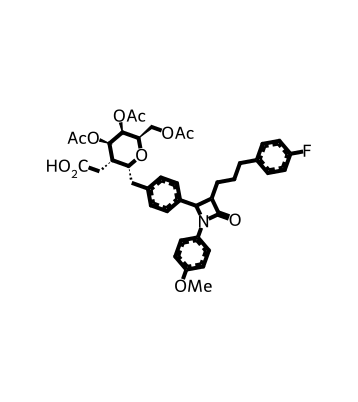 COc1ccc(N2C(=O)C(CCCc3ccc(F)cc3)C2c2ccc(C[C@H]3O[C@H](COC(C)=O)[C@H](OC(C)=O)[C@H](OC(C)=O)[C@H]3CC(=O)O)cc2)cc1